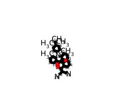 Cc1cc(C(C)(C)C)cc(C)c1N1c2ccccc2C2(c3ccccc3C(=C(C#N)C#N)c3ccccc32)c2ccccc21